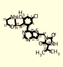 Cc1cc(Cl)cc(-c2ncnc3cc(CN4C(=O)NC(C(C)C)C4=O)sc23)c1C[C@@H]1CNCCO1